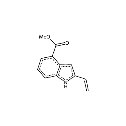 C=Cc1cc2c(C(=O)OC)cccc2[nH]1